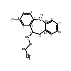 Fc1ccc2c(c1)[C@H](SCCBr)Cc1ccccc1O2